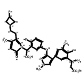 CCOC(=O)C[C@H](N)c1cc(-c2cn(C)nc2Oc2ccc(F)c(C(C(=O)O)n3cc(CCN4CC(F)C4)c(C(F)(F)F)cc3=O)c2)cc(C)c1F